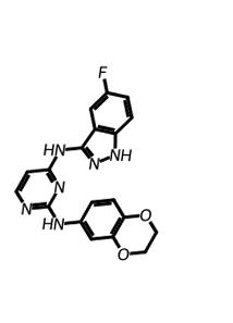 Fc1ccc2[nH]nc(Nc3ccnc(Nc4ccc5c(c4)OCCO5)n3)c2c1